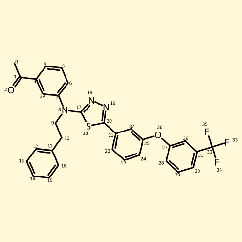 CC(=O)c1cccc(N(CCc2ccccc2)c2nnc(-c3cccc(Oc4cccc(C(F)(F)F)c4)c3)s2)c1